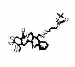 CC[C@@]1(O)C(=O)OCc2c1cc1n(c2=O)Cc2c-1nc1ccccc1c2C=NOCCCN(C=O)OC(C)(C)C